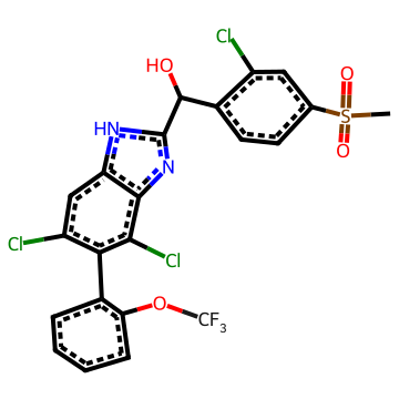 CS(=O)(=O)c1ccc(C(O)c2nc3c(Cl)c(-c4ccccc4OC(F)(F)F)c(Cl)cc3[nH]2)c(Cl)c1